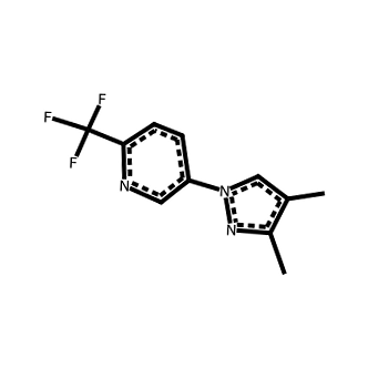 Cc1cn(-c2ccc(C(F)(F)F)nc2)nc1C